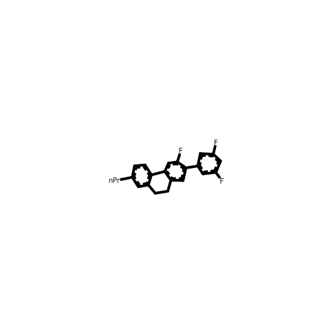 CCCc1ccc2c(c1)CCc1cc(-c3cc(F)cc(F)c3)c(F)cc1-2